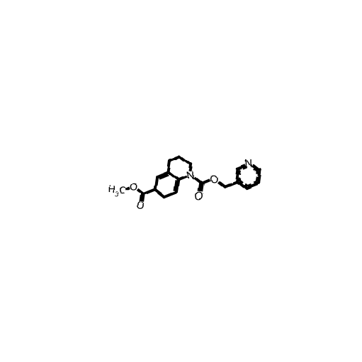 COC(=O)C1C=C2CCCN(C(=O)OCc3cccnc3)C2=CC1